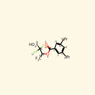 CC(C)c1cc(C(=O)OC(C(F)(F)F)C(F)(F)S(=O)(=O)O)cc(C(C)C)c1